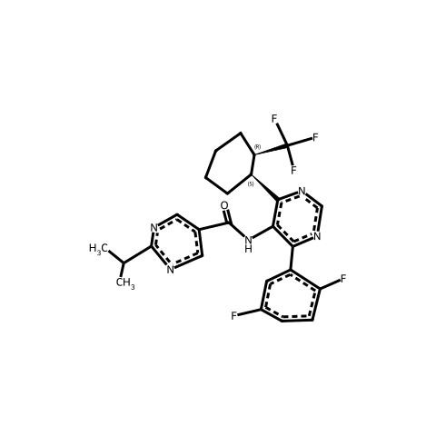 CC(C)c1ncc(C(=O)Nc2c(-c3cc(F)ccc3F)ncnc2[C@H]2CCCC[C@H]2C(F)(F)F)cn1